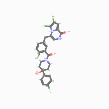 O=C(c1cc(Cc2c[nH]c(=O)c3cc(Cl)c(Cl)n23)ccc1F)N1CCC(O)(c2ccc(Cl)cc2)CC1